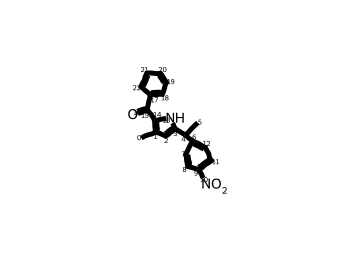 Cc1cc(C(C)c2ccc([N+](=O)[O-])cc2)[nH]c1C(=O)c1ccccc1